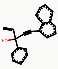 C=CC(O)(C#Cc1cccc2ccccc12)c1ccccc1